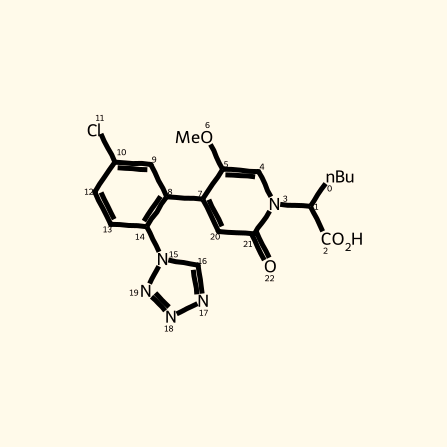 CCCCC(C(=O)O)n1cc(OC)c(-c2cc(Cl)ccc2-n2cnnn2)cc1=O